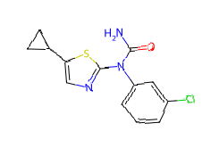 NC(=O)N(c1cccc(Cl)c1)c1ncc(C2CC2)s1